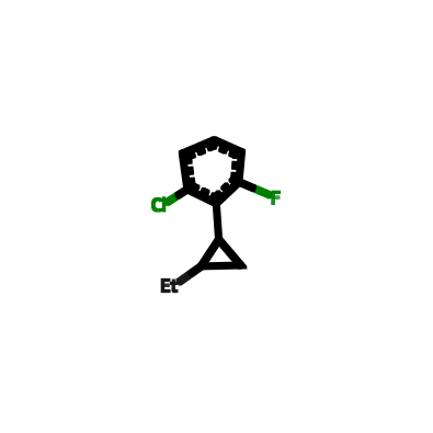 [CH2]CC1CC1c1c(F)cccc1Cl